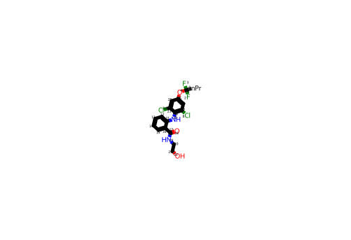 CCCC(F)(F)Oc1cc(Cl)c(Nc2ccccc2C(=O)NCCO)c(Cl)c1